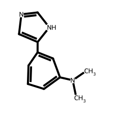 CN(C)c1cccc(-c2cnc[nH]2)c1